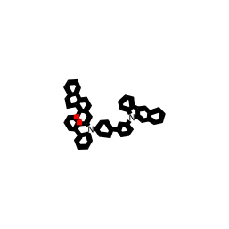 c1ccc(-c2ccccc2N(c2ccc(-c3cccc(-n4c5ccccc5c5cc6ccccc6cc54)c3)cc2)c2ccc3c(ccc4c5ccccc5ccc34)c2)cc1